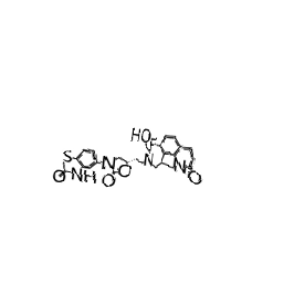 O=C1CSc2ccc(N3C[C@H](CCN(CCO)CC4Cn5c(=O)ccc6ccc(F)c4c65)OC3=O)cc2N1